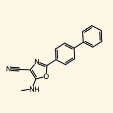 CNc1oc(-c2ccc(-c3ccccc3)cc2)nc1C#N